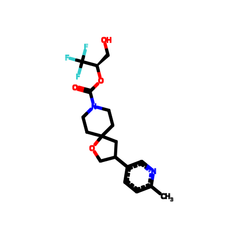 Cc1ccc(C2COC3(CCN(C(=O)O[C@H](CO)C(F)(F)F)CC3)C2)cn1